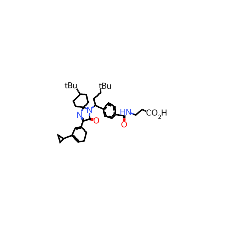 CC(C)(C)CCC(c1ccc(C(=O)NCCC(=O)O)cc1)N1C(=O)C(C2=CC(C3CC3)=CCC2)=NC12CCC(C(C)(C)C)CC2